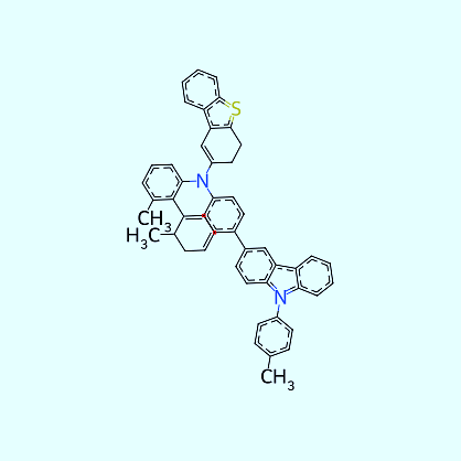 Cc1ccc(-n2c3ccccc3c3cc(-c4ccc(N(C5=Cc6c(sc7ccccc67)CC5)c5cccc(C)c5C5=CC=CCC5C)cc4)ccc32)cc1